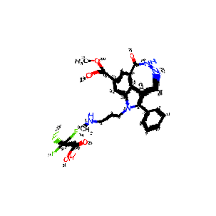 CNCCCn1c(-c2ccccc2)c2c3c(cc(C(=O)OC)cc31)C(=O)NN=C2.O=C(O)C(F)(F)F